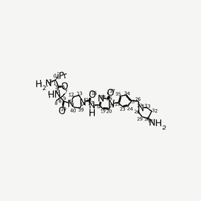 CC(C)[C@H](N)C(=O)NC(C)(C)C(=O)N1CCN(C(=O)Nc2ccn(-c3ccc(CN4CCC(N)CC4)cc3)c(=O)n2)CC1